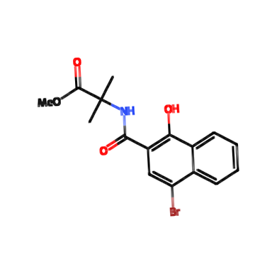 COC(=O)C(C)(C)NC(=O)c1cc(Br)c2ccccc2c1O